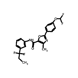 CCC(F)(F)c1cccc(NC(=O)c2oc(-c3ccc(OC(F)F)cc3)nc2C)c1